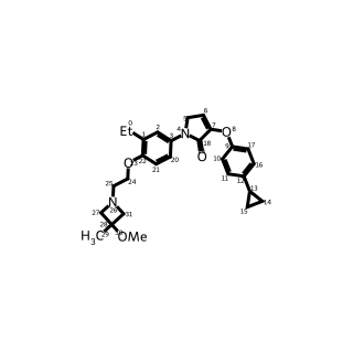 CCc1cc(N2CC=C(Oc3ccc(C4CC4)cc3)C2=O)ccc1OCCN1CC(C)(OC)C1